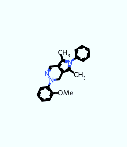 COc1ccccc1N1Cc2c(c(C)n(-c3ccccc3)c2C)C=N1